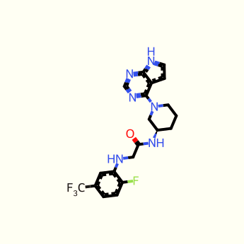 O=C(CNc1cc(C(F)(F)F)ccc1F)N[C@@H]1CCCN(c2ncnc3[nH]ccc23)C1